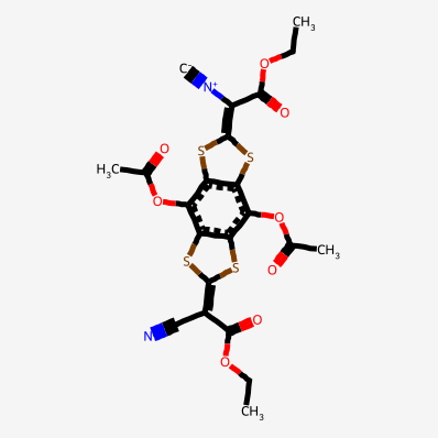 [C-]#[N+]C(C(=O)OCC)=C1Sc2c(OC(C)=O)c3c(c(OC(C)=O)c2S1)SC(=C(C#N)C(=O)OCC)S3